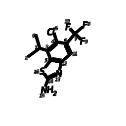 CC(C)c1c(Cl)c(C(F)(F)F)cc2nc(N)sc12